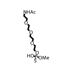 COP(O)(=S)OCCOCCOCCOCCNC(C)=O